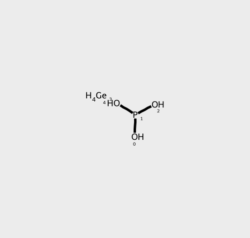 OP(O)O.[GeH4]